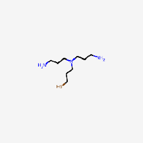 NCCCN(CCCN)CCCS